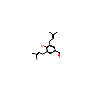 CC(C)=CCc1cc(C=O)cc(CC=C(C)C)c1O